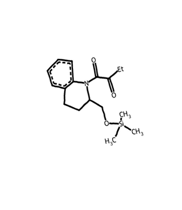 CCC(=O)C(=O)N1c2ccccc2CCC1CO[Si](C)(C)C